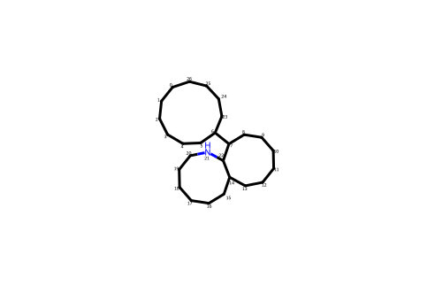 C1CCCCCC(C2CCCCCCC3CCCCCCNC32)CCCC1